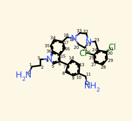 NCCCn1cc(-c2ccc(CN)cc2)c2cc(CN3CCN(Cc4c(Cl)cccc4Cl)CC3)ccc21